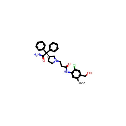 COc1cc(NC(=O)CCN2CC[C@@H](C(C(N)=O)(c3ccccc3)c3ccccc3)C2)c(Cl)cc1CO